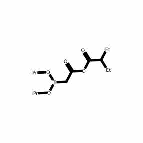 CCC(CC)C(=O)OC(=O)[CH2][Ti]([O]C(C)C)[O]C(C)C